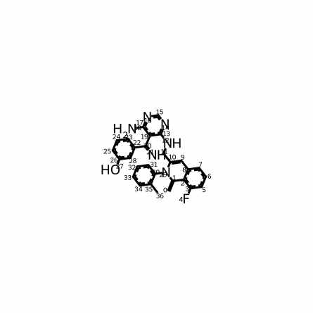 C=C1c2c(F)cccc2C=C(CNc2ncnc(N)c2C(=N)c2cccc(O)c2)N1c1ccccc1C